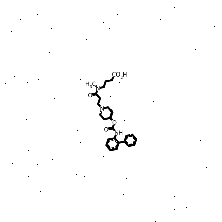 CN(CCCC(=O)O)C(=O)CCN1CCC(OC(=O)Nc2ccccc2-c2ccccc2)CC1